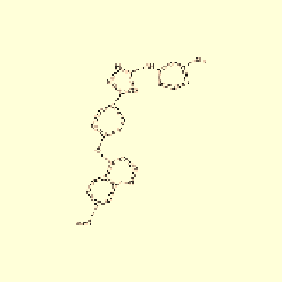 COc1ccc2c(Oc3ccc(-c4nnc(Nc5cccc(C(F)(F)F)c5)o4)cc3)ccnc2c1